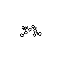 c1ccc(-c2cccc(-c3c(-c4cccc(-c5cccc6oc7cc8c(cc7c56)c5ccccc5n8-c5ccccc5)c4)nc4ccccn34)c2)cc1